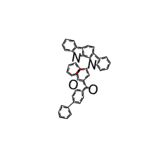 O=c1c2ccc(-c3ccccc3)cc2oc2ccc(-n3c4ccccc4c4ccc5c6ccccc6n(-c6ccccc6)c5c43)cc12